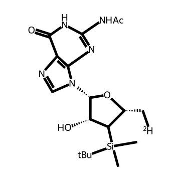 [2H]C[C@H]1O[C@@H](n2cnc3c(=O)[nH]c(NC(C)=O)nc32)[C@@H](O)C1[Si](C)(C)C(C)(C)C